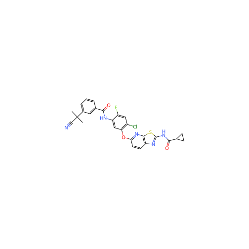 CC(C)(C#N)c1cccc(C(=O)Nc2cc(Oc3ccc4nc(NC(=O)C5CC5)sc4n3)c(Cl)cc2F)c1